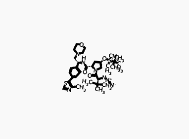 Cc1ncsc1-c1ccc([C@H](CN2CCOCC2)NC(=O)[C@@H]2C[C@@H](O[Si](C)(C)C(C)(C)C)CN2C(=O)[C@@H](N=[N+]=[N-])C(C)(C)C)cc1